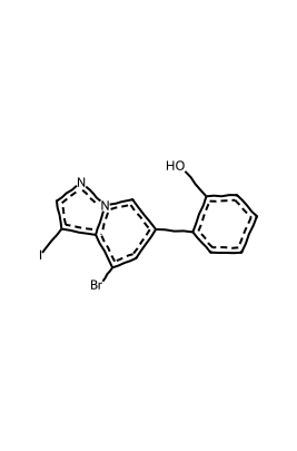 Oc1ccccc1-c1cc(Br)c2c(I)cnn2c1